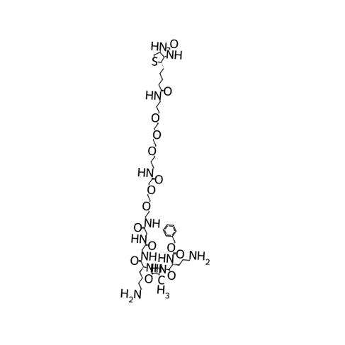 C[C@H](NC(=O)[C@H](CCCN)NC(=O)OCc1ccccc1)C(=O)N[C@@H](CCCCN)C(=O)NCC(=O)NCC(=O)NCCOCCOCC(=O)NCCCOCCOCCOCCCNC(=O)CCCC[C@@H]1SCC2NC(=O)NC21